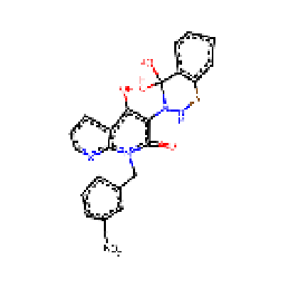 O=c1c(N2NSc3ccccc3C2(O)O)c(O)c2cccnc2n1Cc1cccc([N+](=O)[O-])c1